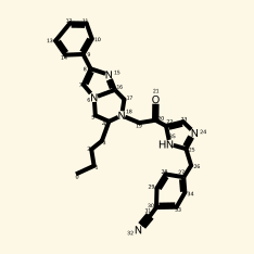 CCCCC1Cn2cc(-c3ccccc3)nc2CN1CC(=O)c1cnc(Cc2ccc(C#N)cc2)[nH]1